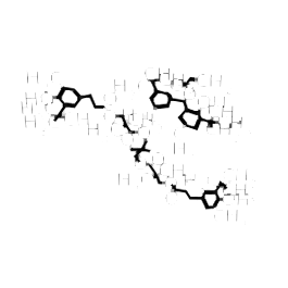 C=CC(=O)Oc1c(Cc2cc(C)cc(C(C)(C)C)c2O)cc(C)cc1C(C)(C)C.Cc1cc(CCC(=O)OCC(C)(C)C2OCC3(CO2)COC(C(C)(C)COC(=O)CCc2cc(C)c(O)c(C(C)(C)C)c2)OC3)cc(C(C)(C)C)c1O